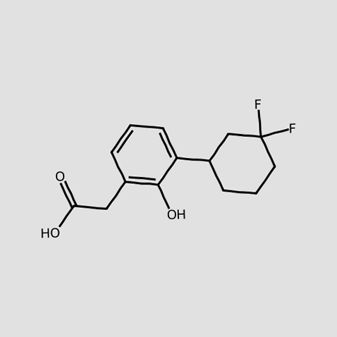 O=C(O)Cc1cccc(C2CCCC(F)(F)C2)c1O